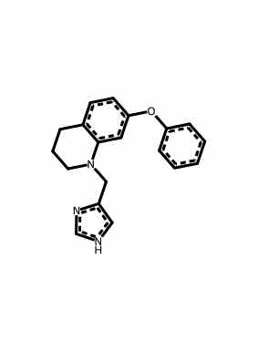 c1ccc(Oc2ccc3c(c2)N(Cc2c[nH]cn2)CCC3)cc1